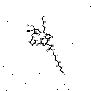 C#C[C@@](CO)(CC[C@@H](CCCCC)n1cnc2c(NC(=O)CCCCCCCCC)nc(F)nc21)C(=O)OC1CCOC1